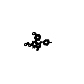 Cc1cn(C[C@H]2CC[C@H](C)CC2)c2c(-c3cccc(Cl)c3)nc(OC=O)nc12